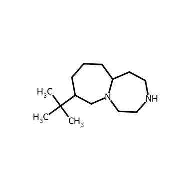 CC(C)(C)C1CCCC2CCNCCN2C1